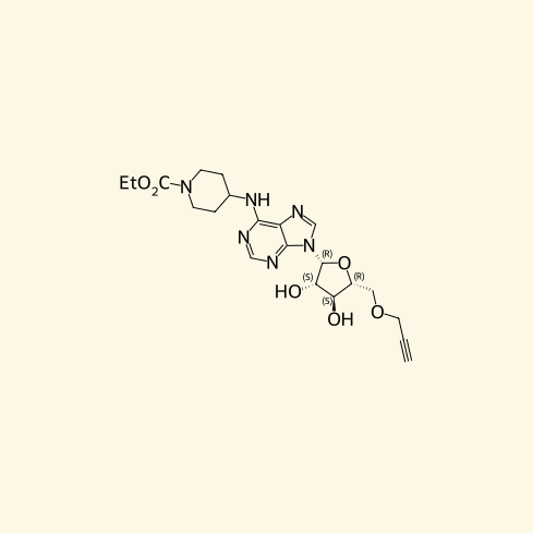 C#CCOC[C@H]1O[C@@H](n2cnc3c(NC4CCN(C(=O)OCC)CC4)ncnc32)[C@@H](O)[C@@H]1O